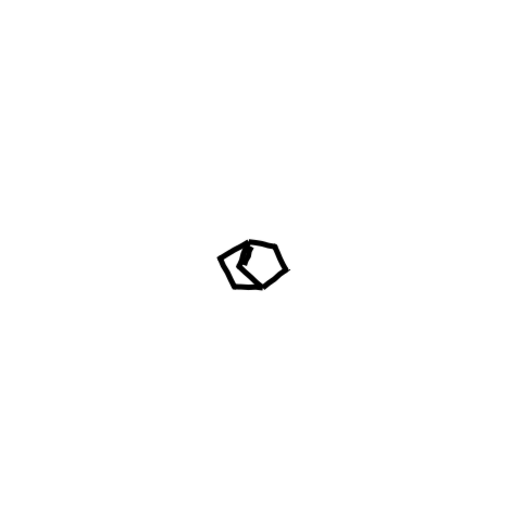 [CH]1CC2=CC1CC2